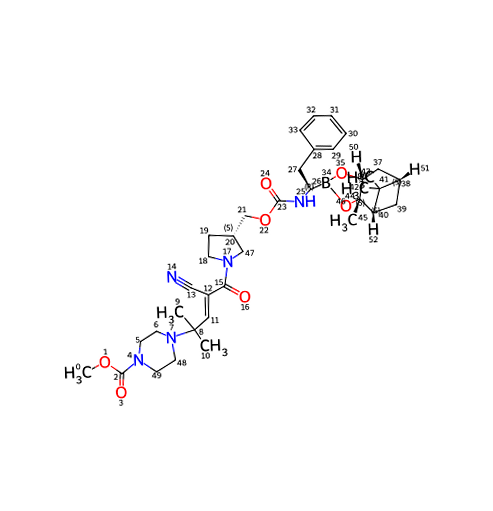 COC(=O)N1CCN(C(C)(C)C=C(C#N)C(=O)N2CC[C@H](COC(=O)N[C@@H](Cc3ccccc3)B3O[C@@H]4C[C@@H]5C[C@@H](C5(C)C)[C@]4(C)O3)C2)CC1